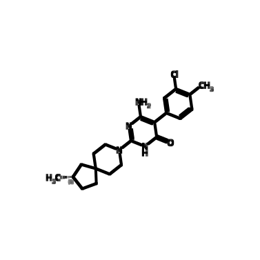 Cc1ccc(-c2c(N)nc(N3CCC4(CC[C@H](C)C4)CC3)[nH]c2=O)cc1Cl